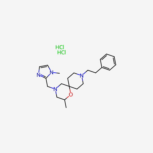 CC1CN(Cc2nccn2C)CC2(CCN(CCc3ccccc3)CC2)O1.Cl.Cl